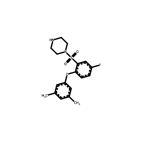 Cc1cc(C)cc(Oc2ccc(F)cc2S(=O)(=O)N2CCNCC2)c1